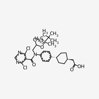 CC(CN(C(=O)c1c(Cl)ncnc1Cl)c1ccc([C@H]2CC[C@H](CC(=O)O)CC2)cc1)O[Si](C)(C)C(C)(C)C